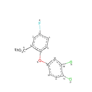 CCOC(=O)c1cc(F)ccc1Oc1ccc(Cl)c(Cl)c1